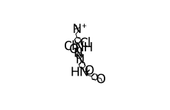 COc1ccc(CC(=O)Nc2ccc(N3CCN(C(=O)Nc4c(Cl)cc(CC[N+](C)(C)C)cc4Cl)CC3)cc2)cc1